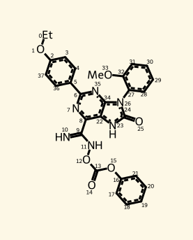 CCOc1ccc(-c2nc(C(=N)NOC(=O)Oc3ccccc3)c3[nH]c(=O)n(-c4ccccc4OC)c3n2)cc1